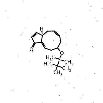 CC(C)(C)[Si](C)(C)OC1C/C=C\C[C@H]2C=CC(=O)/C2=C/C1